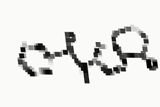 O=C(Nc1ccc2c(c1)CCCC2=O)c1ccccc1